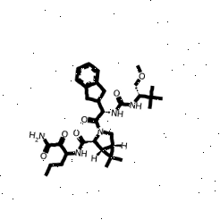 CCCC(NC(=O)[C@@H]1[C@@H]2[C@H](CN1C(=O)[C@@H](NC(=O)N[C@H](COC)C(C)(C)C)C1Cc3ccccc3C1)C2(C)C)C(=O)C(N)=O